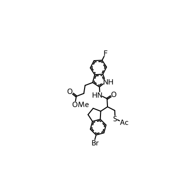 COC(=O)CCc1c(NC(=O)C(CSC(C)=O)C2CCc3cc(Br)ccc32)[nH]c2cc(F)ccc12